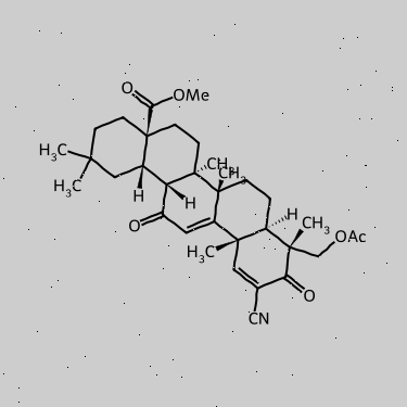 COC(=O)[C@]12CCC(C)(C)C[C@H]1[C@H]1C(=O)C=C3[C@@]4(C)C=C(C#N)C(=O)[C@@](C)(COC(C)=O)[C@@H]4CC[C@@]3(C)[C@]1(C)CC2